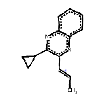 C/C=C/c1nc2ccccc2nc1C1CC1